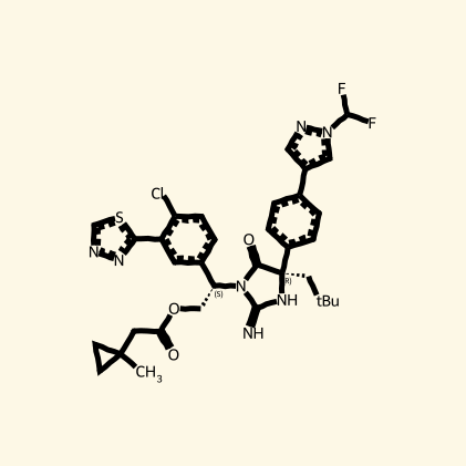 CC(C)(C)C[C@]1(c2ccc(-c3cnn(C(F)F)c3)cc2)NC(=N)N([C@H](COC(=O)CC2(C)CC2)c2ccc(Cl)c(-c3nncs3)c2)C1=O